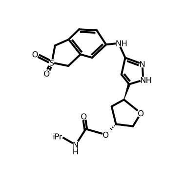 CC(C)NC(=O)O[C@H]1CO[C@H](c2cc(Nc3ccc4c(c3)CS(=O)(=O)C4)n[nH]2)C1